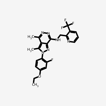 CCOc1ccc(-n2nc3c(NCc4ncccc4C(F)(F)F)nnc(C)c3c2C)c(F)c1